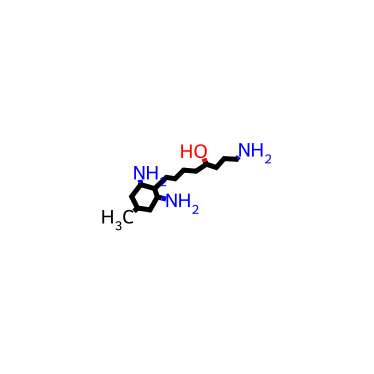 CC1CC(N)C(CCCCC(O)CCCN)C(N)C1